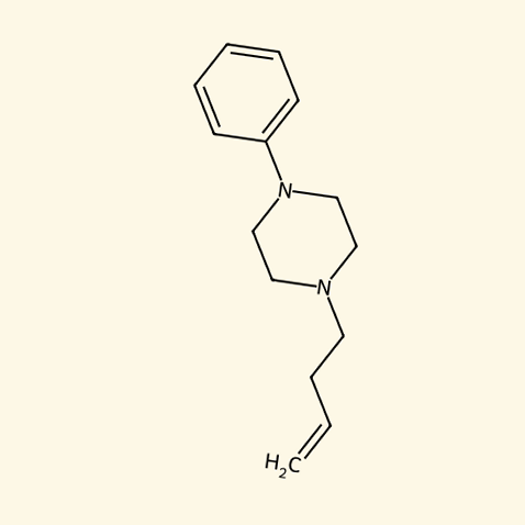 C=CCCN1CCN(c2ccccc2)CC1